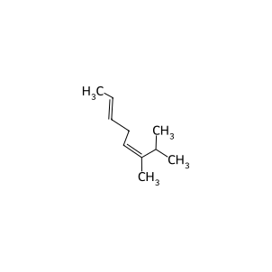 CC=CCC=C(C)C(C)C